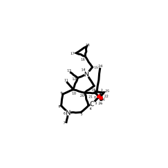 CC1=C\CC2CN(C)CCC3(C)C(C)N(CC4CC4)CC23/C(C)=C(C)/C=C\1